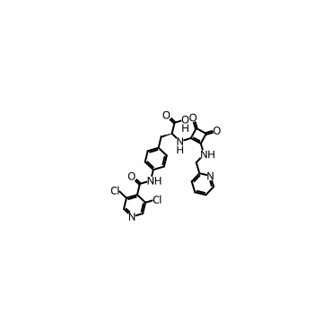 O=C(Nc1ccc(C[C@H](Nc2c(NCc3ccccn3)c(=O)c2=O)C(=O)O)cc1)c1c(Cl)cncc1Cl